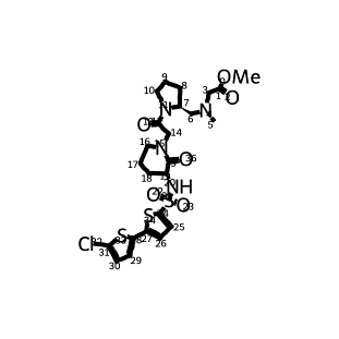 COC(=O)CN(C)C[C@@H]1CCCN1C(=O)CN1CCC[C@H](NS(=O)(=O)c2ccc(-c3ccc(Cl)s3)s2)C1=O